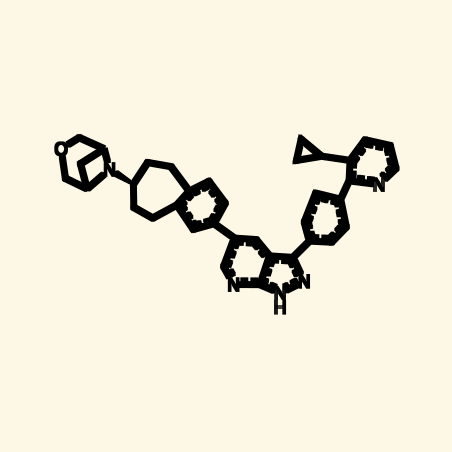 c1cnc(-c2ccc(-c3n[nH]c4ncc(-c5ccc6c(c5)CC[C@@H](N5C7COCC5C7)CC6)cc34)cc2)c(C2CC2)c1